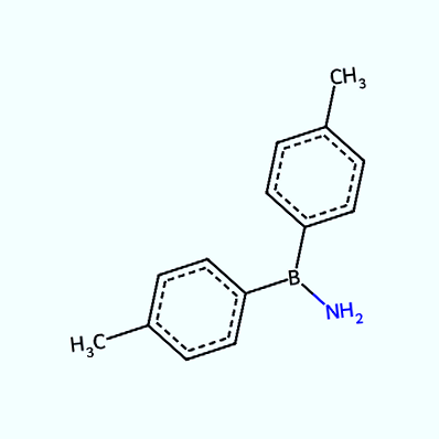 Cc1ccc(B(N)c2ccc(C)cc2)cc1